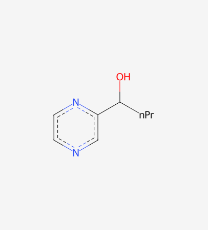 CCCC(O)c1cnccn1